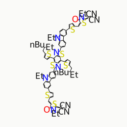 CCCCC(CC)Cc1ccc(-c2c3nc(-c4ccc5c6cc(-c7ccc(/C=c8/sc(=C(C#N)C#N)n(CC)c8=O)s7)ccc6n(CC)c5c4)sc3c(-c3ccc(CC(CC)CCCC)s3)c3nc(-c4ccc5c6cc(-c7ccc(/C=c8\sc(=C(C#N)C#N)n(CC)c8=O)s7)ccc6n(CC)c5c4)sc23)s1